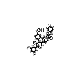 O=c1c(-c2ccc(CO)cc2)c(N2CCN(S(=O)(=O)Cc3ccccc3)CC2)cnn1-c1cc(F)cc(F)c1